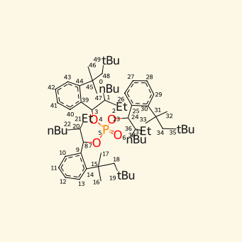 CCCCC(CC)C(OP(=O)(OC(c1ccccc1C(C)(C)CC(C)(C)C)C(CC)CCCC)OC(c1ccccc1C(C)(C)CC(C)(C)C)C(CC)CCCC)c1ccccc1C(C)(C)CC(C)(C)C